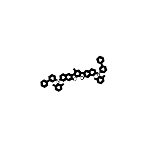 Cc1cccc(C)c1N(c1cccc(-c2ccccc2)c1)c1ccc2cc3c(cc2c1)oc1c3cc(C)c2c3cc4ccc(N(c5cccc(-c6ccccc6)c5)c5c(C)cccc5C)cc4cc3oc12